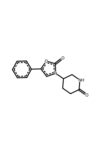 O=C1CCC(n2cc(-c3ccccc3)oc2=O)CN1